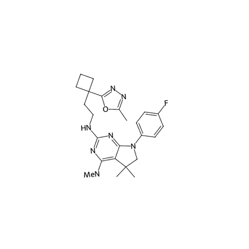 CNc1nc(NCCC2(c3nnc(C)o3)CCC2)nc2c1C(C)(C)CN2c1ccc(F)cc1